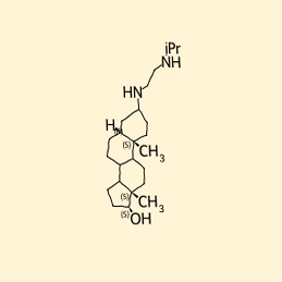 CC(C)NCCNC1CC[C@]2(C)C3CC[C@@]4(C)C(CC[C@@H]4O)C3CC[C@@H]2C1